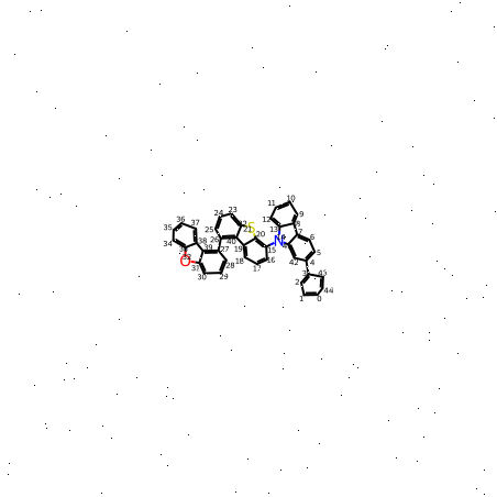 c1ccc(-c2ccc3c4ccccc4n(-c4cccc5c4sc4cccc(-c6cccc7oc8ccccc8c67)c45)c3c2)cc1